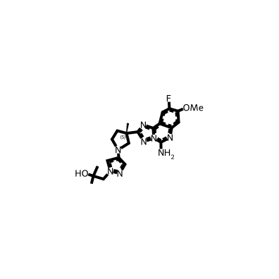 COc1cc2nc(N)n3nc([C@@]4(C)CCN(c5cnn(CC(C)(C)O)c5)C4)nc3c2cc1F